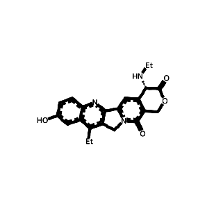 CCN[C@@H]1C(=O)OCc2c1cc1n(c2=O)Cc2c-1nc1ccc(O)cc1c2CC